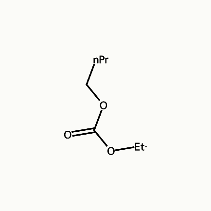 C[CH]OC(=O)OCCCC